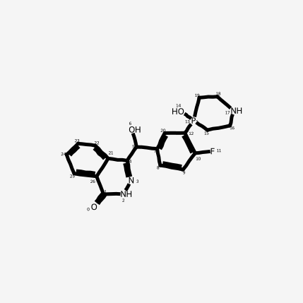 O=c1[nH]nc(C(O)c2ccc(F)c([P]3(O)CCNCC3)c2)c2ccccc12